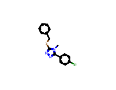 Cn1c(SCc2ccccc2)nnc1-c1ccc(Br)cc1